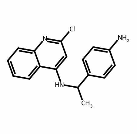 CC(Nc1cc(Cl)nc2ccccc12)c1ccc(N)cc1